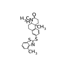 Cc1cccc2sc(Sc3ccc4c(c3)CC[C@H]3N(C)C(=O)CC[C@]43C)nc12